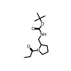 [CH2]CC(=O)N1CCCC1CNC(=O)OC(C)(C)C